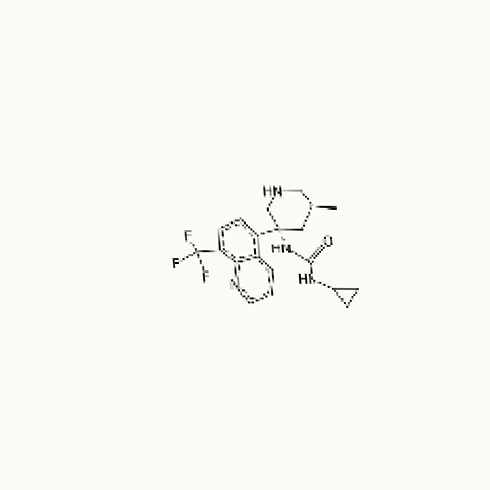 C[C@@H]1CNC[C@](NC(=O)NC2CC2)(c2ccc(C(F)(F)F)c3ncccc23)C1